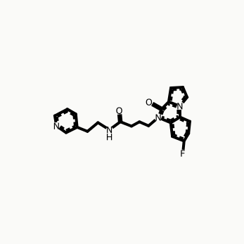 O=C(CCCn1c(=O)c2cccn2c2ccc(F)cc21)NCCc1cccnc1